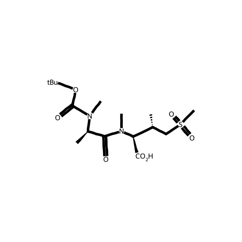 C[C@H](CS(C)(=O)=O)[C@@H](C(=O)O)N(C)C(=O)[C@@H](C)N(C)C(=O)OC(C)(C)C